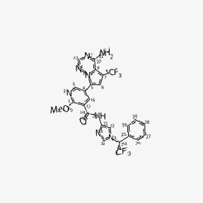 COc1ncc(-c2cc(C(F)(F)F)c3c(N)ncnn23)cc1C(=O)Nc1cn(C(c2ccccc2)C(F)(F)F)cn1